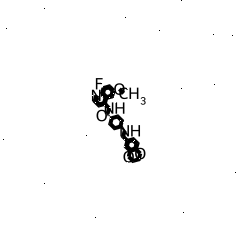 COc1cc(F)c2nccc(NC(=O)[C@H]3CC[C@H](NCc4ccc5c(c4)OCCO5)CC3)c2c1